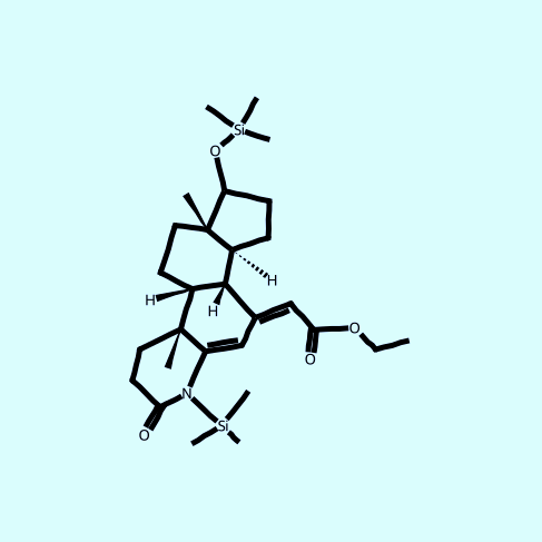 CCOC(=O)C=C1C=C2N([Si](C)(C)C)C(=O)CC[C@]2(C)[C@@H]2CC[C@]3(C)C(O[Si](C)(C)C)CC[C@H]3[C@H]12